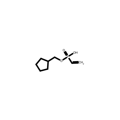 C=CP(=O)(O)OCC1CCCC1